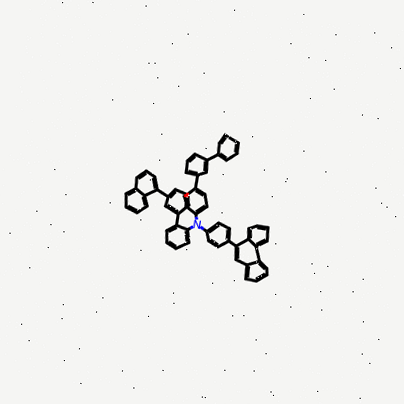 c1ccc(-c2cccc(-c3ccc(N(c4ccc(-c5cc6ccccc6c6ccccc56)cc4)c4ccccc4-c4cccc(-c5cccc6ccccc56)c4)cc3)c2)cc1